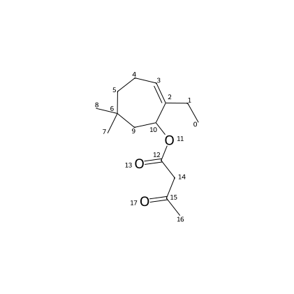 CCC1=CCCC(C)(C)CC1OC(=O)CC(C)=O